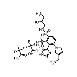 NCC1=CCN(c2ccc(S(=O)(=O)NCC(O)CN)c(S(N)(=O)=O)c2-c2nn[nH]n2)C1.O=C(O)C(F)(F)F.O=C(O)C(F)(F)F